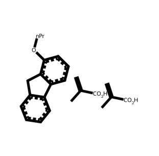 C=C(C)C(=O)O.C=C(C)C(=O)O.CCCOc1cccc2c1Cc1ccccc1-2